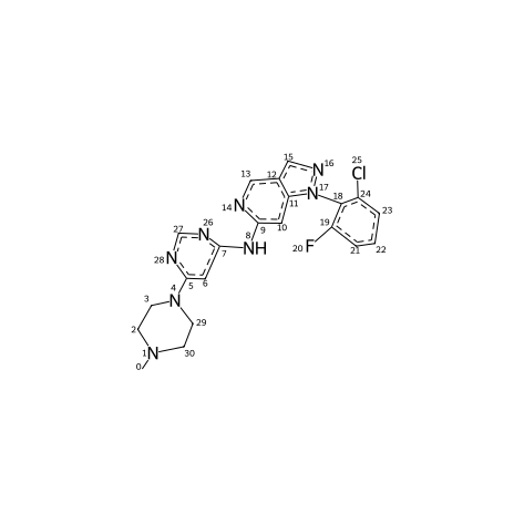 CN1CCN(c2cc(Nc3cc4c(cn3)cnn4-c3c(F)cccc3Cl)ncn2)CC1